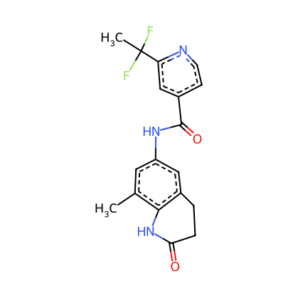 Cc1cc(NC(=O)c2ccnc(C(C)(F)F)c2)cc2c1NC(=O)CC2